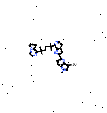 Cn1cc(C(C)(C)C)c2nc(-c3cc4ccnc(C(C)(C)CCC(C)(C)c5nccn6cccc56)c4[nH]3)ccc21